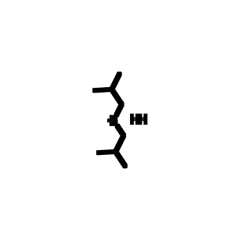 CC(C)C[B]CC(C)C.[HH]